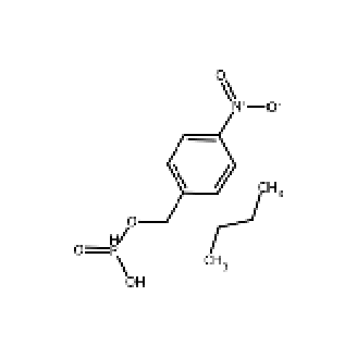 CCCC.O=[N+]([O-])c1ccc(CO[PH](=O)O)cc1